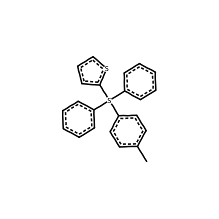 Cc1ccc(S(c2ccccc2)(c2ccccc2)c2cccs2)cc1